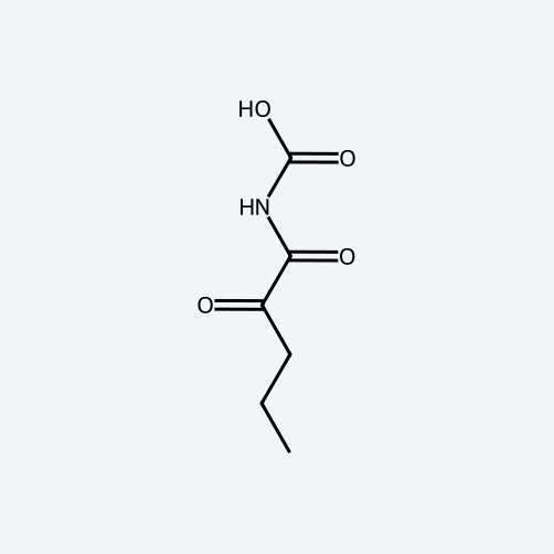 CCCC(=O)C(=O)NC(=O)O